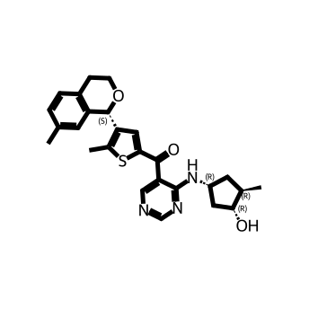 Cc1ccc2c(c1)[C@@H](c1cc(C(=O)c3cncnc3N[C@@H]3C[C@@H](C)[C@H](O)C3)sc1C)OCC2